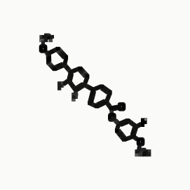 CCCCOc1ccc(OC(=O)c2ccc(-c3ccc(-c4ccc(OCCC)cc4)c(F)c3F)cc2)cc1F